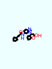 O=C(O)CC(c1ccccc1)n1cnc2ccc(NC(=O)C#Cc3ccccc3)cc21